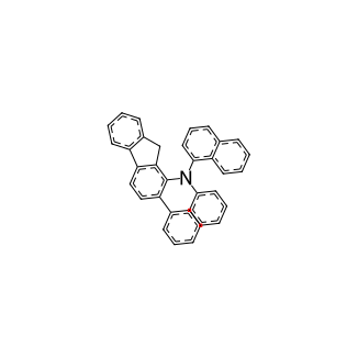 c1ccc(-c2ccc3c(c2N(c2ccccc2)c2cccc4ccccc24)Cc2ccccc2-3)cc1